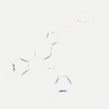 CC(=O)Nc1cc(C2CC(C(O)c3ccc(Cl)cc3)=C(c3ncn(COCC[Si](C)(C)C)n3)S2)ccn1